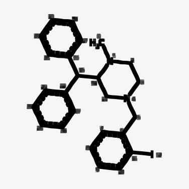 CN1CCN(Cc2ccccc2I)CC1C(c1ccccc1)c1ccccc1